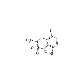 CN1Cc2c(Br)ccc3scc(c23)S1(=O)=O